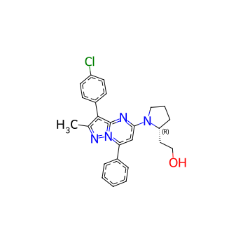 Cc1nn2c(-c3ccccc3)cc(N3CCC[C@@H]3CCO)nc2c1-c1ccc(Cl)cc1